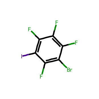 Fc1c(F)c(Br)c(F)c(I)c1F